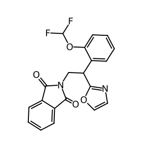 O=C1c2ccccc2C(=O)N1CC(c1ncco1)c1ccccc1OC(F)F